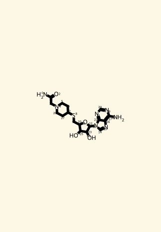 NC(=O)CN1CCC(SCC2OC(n3cnc4c(N)ncnc43)C(O)C2O)CC1